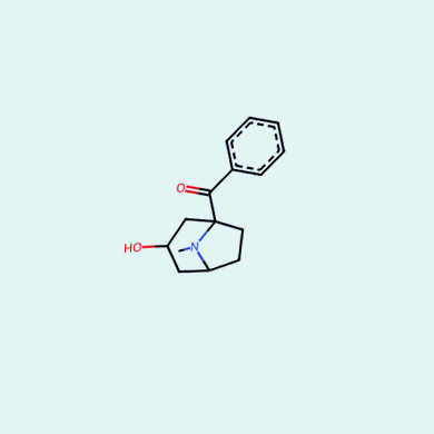 CN1C2CCC1(C(=O)c1ccccc1)CC(O)C2